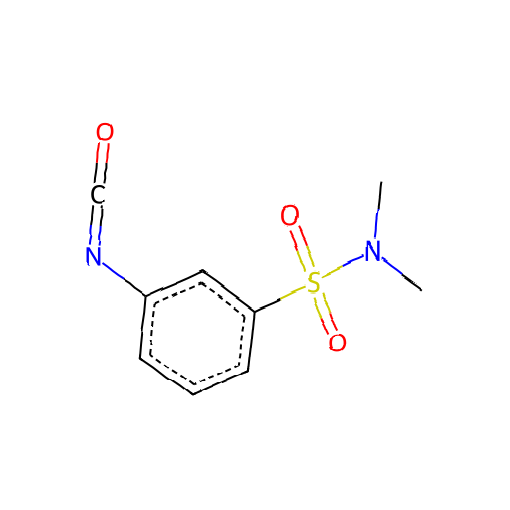 CN(C)S(=O)(=O)c1cccc(N=C=O)c1